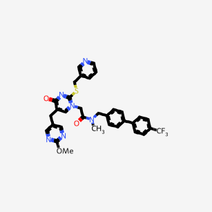 COc1ncc(Cc2cn(CC(=O)N(C)Cc3ccc(-c4ccc(C(F)(F)F)cc4)cc3)c(SCc3cccnc3)nc2=O)cn1